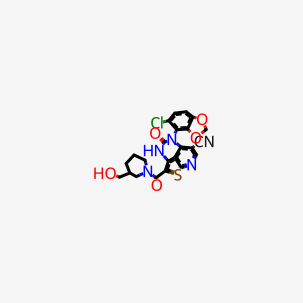 N#Cc1cnc2sc(C(=O)N3CCCC(CO)C3)c3c2c1N(c1c(Cl)ccc2c1OCO2)C(=O)N3